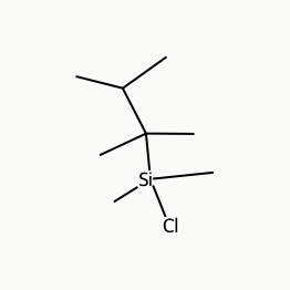 CC(C)C(C)(C)[Si](C)(C)Cl